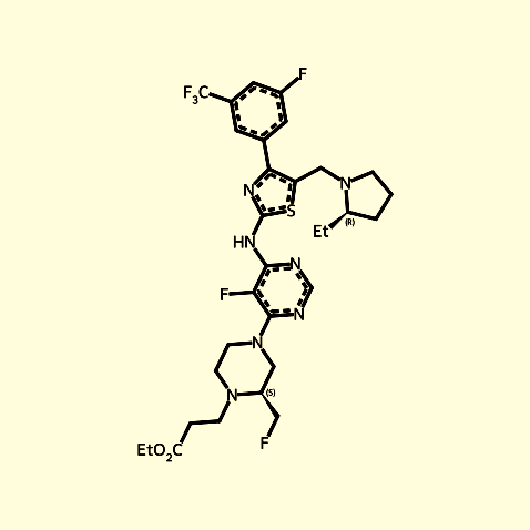 CCOC(=O)CCN1CCN(c2ncnc(Nc3nc(-c4cc(F)cc(C(F)(F)F)c4)c(CN4CCC[C@H]4CC)s3)c2F)C[C@H]1CF